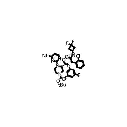 CC(C)(C)OC(=O)N1CCN(c2nccc(C#N)n2)[C@H](C(=O)N(c2cc(F)cc(F)c2)[C@H](C(=O)NC2CC(F)(F)C2)c2ccccc2Cl)C1